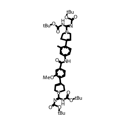 COc1cc(C(=O)Nc2ccc(C3=CCN(C(=NC(=O)OC(C)(C)C)NC(=O)OC(C)(C)C)CC3)c(C)c2)ccc1C1=CCN(C(=NC(=O)OC(C)(C)C)NC(=O)OC(C)(C)C)CC1